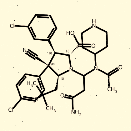 CC(=O)N(C1CCNCC1)C(CC(N)=O)N1[C@@H](CC(C)(C)C)[C@](C#N)(c2ccc(Cl)cc2)[C@@H](c2cccc(Cl)c2)[C@@H]1C(=O)O